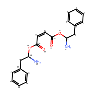 NC(Cc1ccccc1)OC(=O)/C=C\C(=O)OC(N)Cc1ccccc1